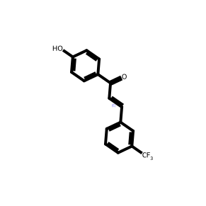 O=C(/C=C/c1cccc(C(F)(F)F)c1)c1ccc(O)cc1